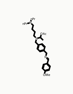 CCCN(CCC)CCCCN(Cc1ccc(CN=Cc2ccc(OC)cc2)cc1)C(C)OC(C)=O